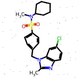 Cc1nc2ccc(Cl)cc2n1Cc1ccc(S(=O)(=O)N(C)C2CCCCC2)cc1